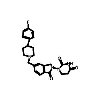 O=C1CCN(N2Cc3cc(CN4CCC(c5ccc(F)cc5)CC4)ccc3C2=O)C(=O)N1